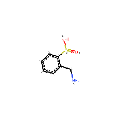 NCc1ccccc1S(=O)O